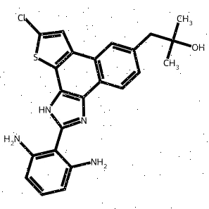 CC(C)(O)Cc1ccc2c(c1)c1cc(Cl)sc1c1[nH]c(-c3c(N)cccc3N)nc21